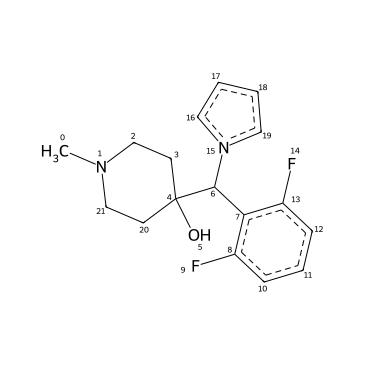 CN1CCC(O)(C(c2c(F)cccc2F)n2cccc2)CC1